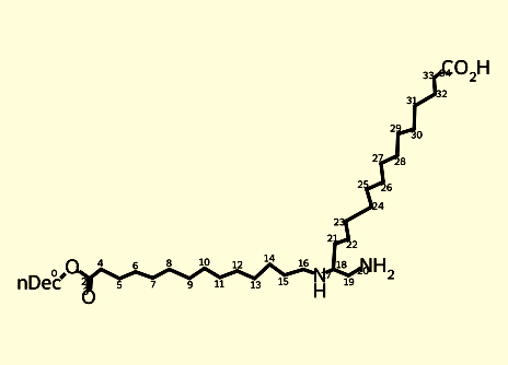 CCCCCCCCCCOC(=O)CCCCCCCCCCCCCNC(CN)CCCCCCCCCCCCCC(=O)O